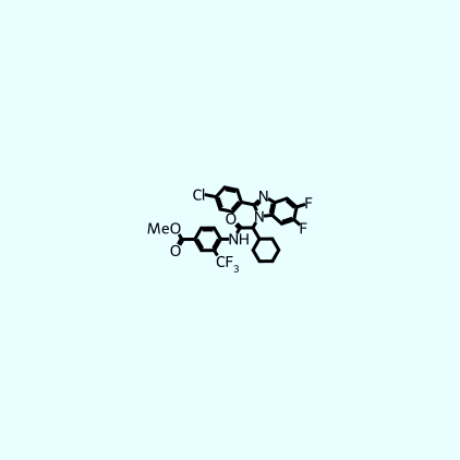 COC(=O)c1ccc(NC(=O)C(C2CCCCC2)n2c(-c3ccc(Cl)cc3)nc3cc(F)c(F)cc32)c(C(F)(F)F)c1